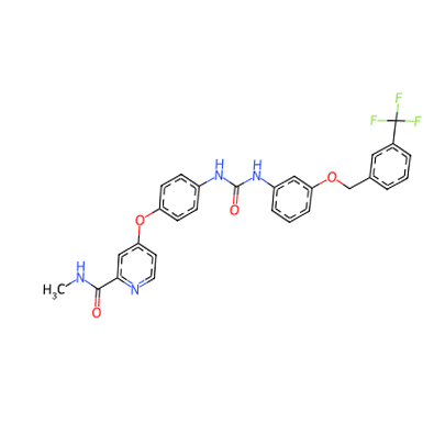 CNC(=O)c1cc(Oc2ccc(NC(=O)Nc3cccc(OCc4cccc(C(F)(F)F)c4)c3)cc2)ccn1